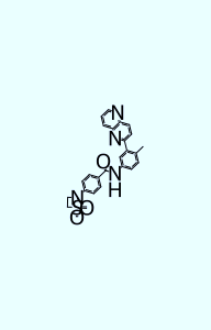 Cc1ccc(NC(=O)c2ccc(N3CCS3(=O)=O)cc2)cc1-c1ccc2ncccc2n1